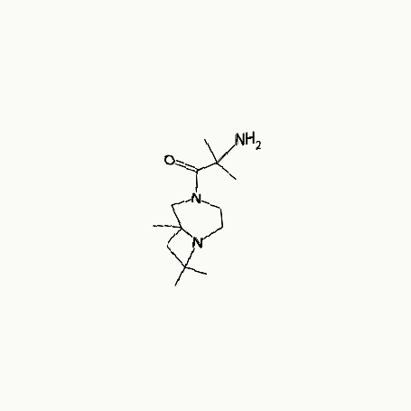 CC(C)(N)C(=O)N1CCN2C(C)(C)CC2(C)C1